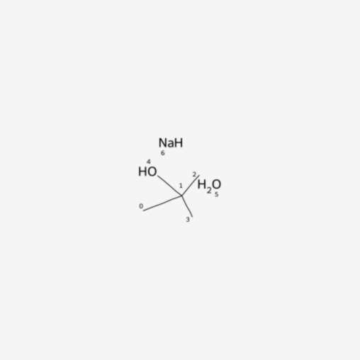 CC(C)(C)O.O.[NaH]